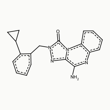 Nc1nc2ccccc2n2c(=O)n(Cc3ccccc3C3CC3)nc12